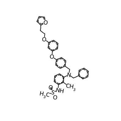 Cc1c(NS(C)(=O)=O)cccc1N(Cc1ccccc1)Cc1ccc(Oc2cccc(OCCc3ccco3)c2)cc1